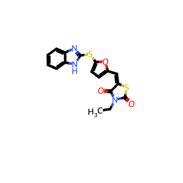 CCN1C(=O)SC(=Cc2ccc(Sc3nc4ccccc4[nH]3)o2)C1=O